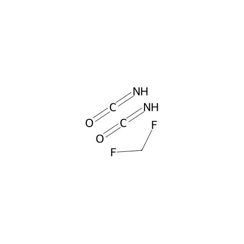 FCF.N=C=O.N=C=O